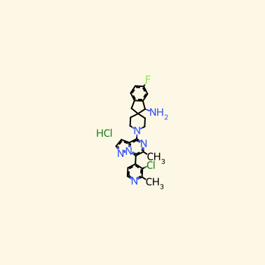 Cc1nccc(-c2c(C)nc(N3CCC4(CC3)Cc3ccc(F)cc3[C@H]4N)c3ccnn23)c1Cl.Cl